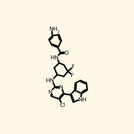 Nc1ccc(C(=O)NC2CC(Nc3ncc(Cl)c(-c4c[nH]c5ccccc45)n3)CC(F)(F)C2)cc1